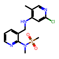 Cc1cnc(Cl)cc1NCc1cccnc1N(C)S(C)(=O)=O